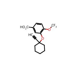 C#CC1(Oc2cc(C(=O)O)ccc2OC(F)(F)F)CCCCC1